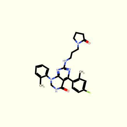 Cc1cc(F)ccc1-c1nc(NCCCN2CCCC2=O)nc2c1C(=O)NCN2c1ccccc1C